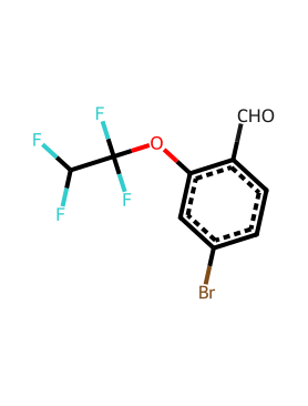 O=Cc1ccc(Br)cc1OC(F)(F)C(F)F